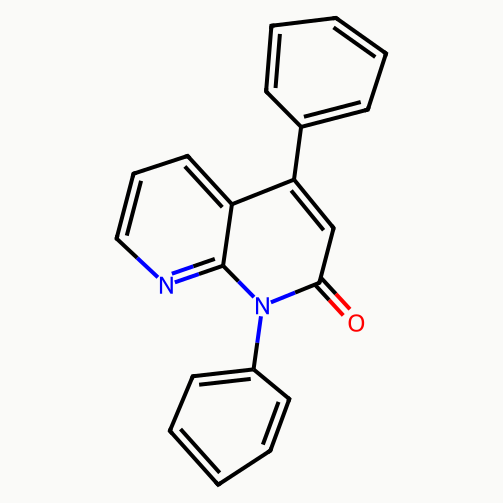 O=c1cc(-c2ccccc2)c2cccnc2n1-c1ccccc1